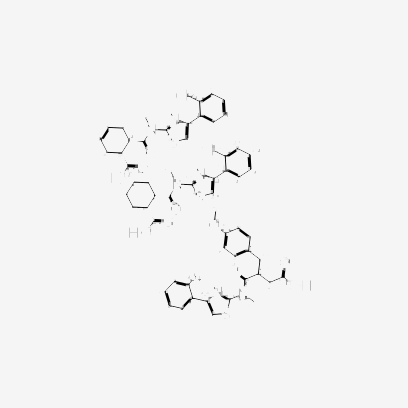 CN(C(=O)[C@@H]1CC=CC[C@@H]1C(=O)O)c1nc(-c2ccccc2Cl)cs1.CN(C(=O)[C@H]1CCCC[C@H]1C(=O)O)c1nc(-c2ccccc2Cl)cs1.COc1ccc(CC(CC(=O)O)C(=O)N(C)c2nc(-c3ccccc3Cl)cs2)cc1